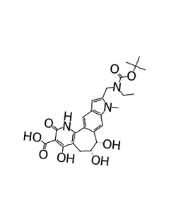 CCN(Cc1cc2cc3c(cc2n1C)[C@H](O)[C@H](O)Cc1c-3[nH]c(=O)c(C(=O)O)c1O)C(=O)OC(C)(C)C